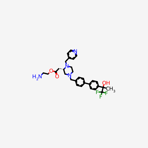 CC(O)(c1ccc(-c2ccc(CN3CCN(Cc4ccncc4)[C@@H](CC(=O)OCCN)C3)cc2)cc1)C(F)(F)F